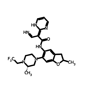 CC1Cc2cc(NC(=O)/C(C=N)=C3\N=CC=CN3)c(N3CCN(CC(F)(F)F)[C@@H](C)C3)cc2O1